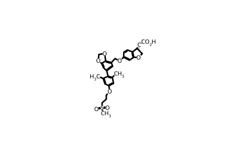 Cc1cc(OCCCS(C)(=O)=O)cc(C)c1-c1cc(COc2ccc3c(c2)OC[C@H]3CC(=O)O)c2c(c1)OCO2